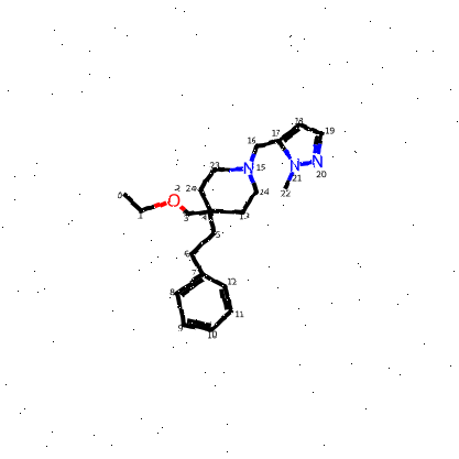 CCOCC1(CCc2ccccc2)CCN(Cc2ccnn2C)CC1